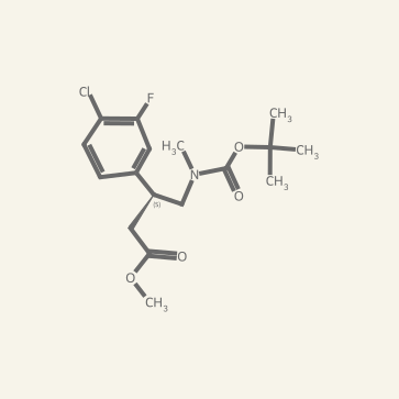 COC(=O)C[C@H](CN(C)C(=O)OC(C)(C)C)c1ccc(Cl)c(F)c1